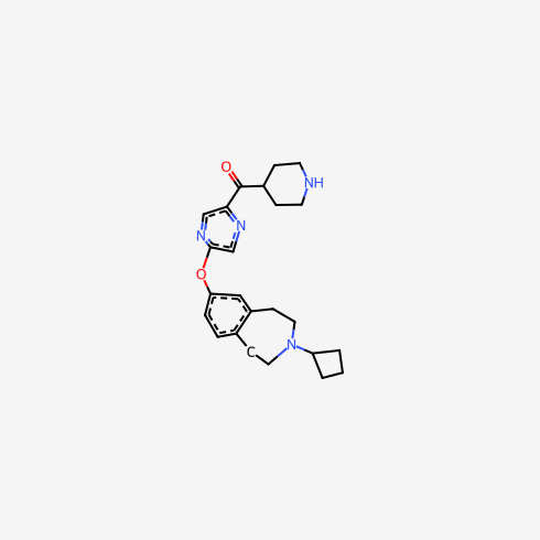 O=C(c1cnc(Oc2ccc3c(c2)CCN(C2CCC2)CC3)cn1)C1CCNCC1